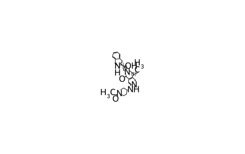 CC[C@@H]1CN(C[C@@H](O)[C@@H]2Cc3ccccc3CN2)C(=O)c2cc(NC3CCN(C(C)=O)CC3)ncc21